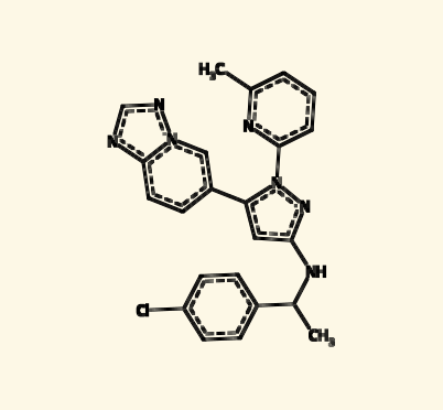 Cc1cccc(-n2nc(NC(C)c3ccc(Cl)cc3)cc2-c2ccc3ncnn3c2)n1